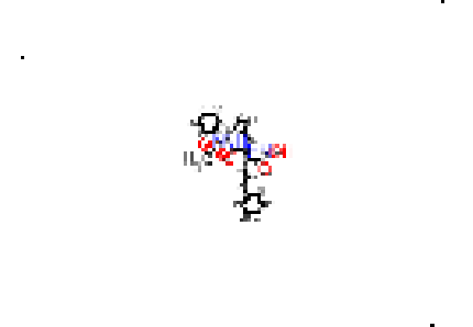 CS(=O)(=O)N(NC(=O)[C@H](CC1CCC1)[C@H](CC=Cc1ccccc1)C(=O)NO)c1ccccc1